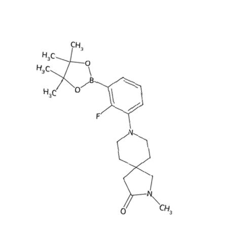 CN1CC2(CCN(c3cccc(B4OC(C)(C)C(C)(C)O4)c3F)CC2)CC1=O